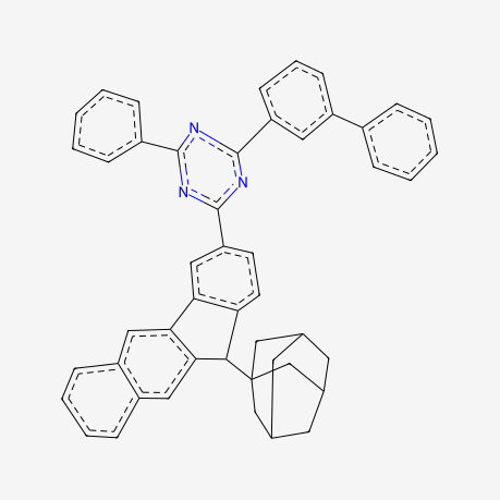 c1ccc(-c2cccc(-c3nc(-c4ccccc4)nc(-c4ccc5c(c4)-c4cc6ccccc6cc4C5C45CC6CC(CC(C6)C4)C5)n3)c2)cc1